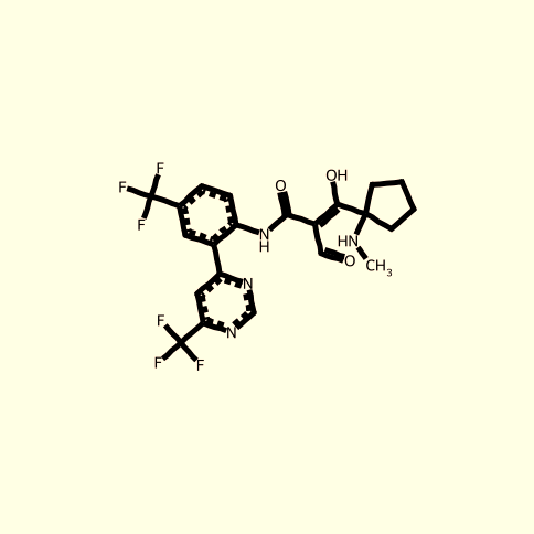 CNC1(/C(O)=C(\C=O)C(=O)Nc2ccc(C(F)(F)F)cc2-c2cc(C(F)(F)F)ncn2)CCCC1